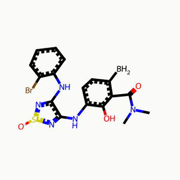 Bc1ccc(Nc2n[s+]([O-])nc2Nc2ccccc2Br)c(O)c1C(=O)N(C)C